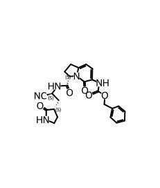 N#C[C@H](C[C@@H]1CCNC1=O)NC(=O)[C@@H]1CCc2ccc(NC(=O)OCc3ccccc3)c(=O)n21